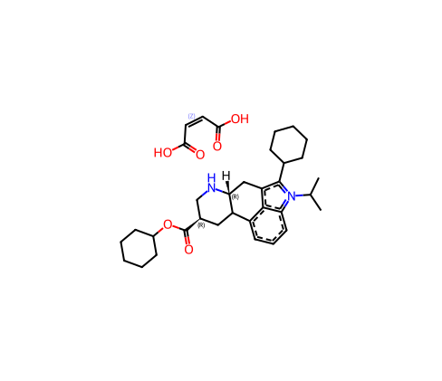 CC(C)n1c(C2CCCCC2)c2c3c(cccc31)C1C[C@@H](C(=O)OC3CCCCC3)CN[C@@H]1C2.O=C(O)/C=C\C(=O)O